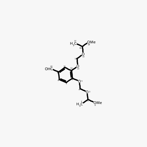 COC(C)OCOc1ccc(C=O)cc1OCOC(C)OC